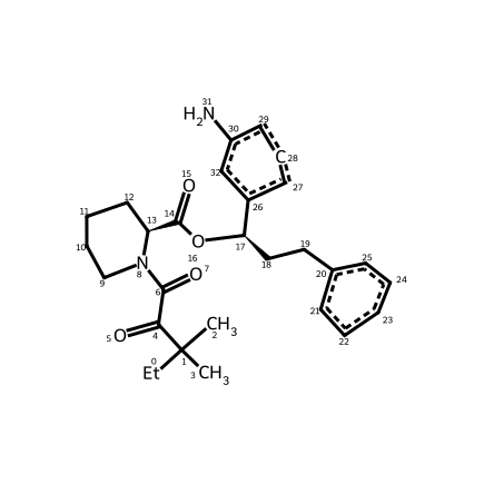 CCC(C)(C)C(=O)C(=O)N1CCCC[C@H]1C(=O)O[C@H](CCc1ccccc1)c1cccc(N)c1